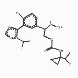 O=C(O)NC(COC(=O)NC1(C(F)F)CC1)c1ccc(Cl)c(-c2ncnn2C(F)F)c1